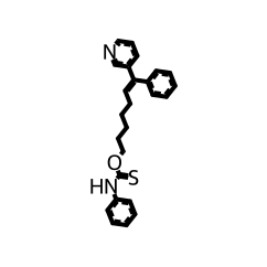 S=C(Nc1ccccc1)OCCCCC/C=C(\c1ccccc1)c1cccnc1